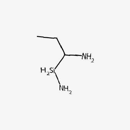 CCC(N)[SiH2]N